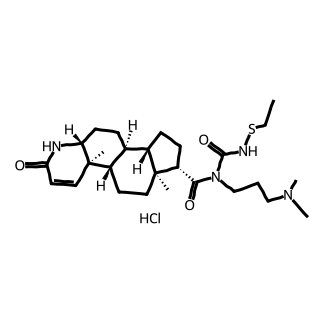 CCSNC(=O)N(CCCN(C)C)C(=O)[C@H]1CC[C@H]2[C@@H]3CC[C@H]4NC(=O)C=C[C@]4(C)[C@H]3CC[C@]12C.Cl